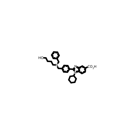 O=C(O)c1ccc2c(c1)nc(-c1ccc(CN(CCCCO)Cc3ccccc3)cc1)n2C1CCCCC1